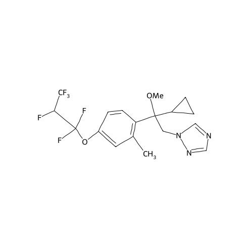 COC(Cn1cncn1)(c1ccc(OC(F)(F)C(F)C(F)(F)F)cc1C)C1CC1